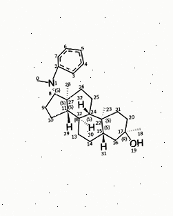 CN(c1ccccc1)[C@H]1CC[C@H]2[C@@H]3CC[C@H]4C[C@](C)(O)CC[C@]4(C)[C@H]3CC[C@]12C